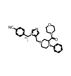 C[C@H](c1ccc(C#N)cc1)n1cncc1CN1CCN(c2ccccc2)C(C(=O)N2CCOCC2)C1